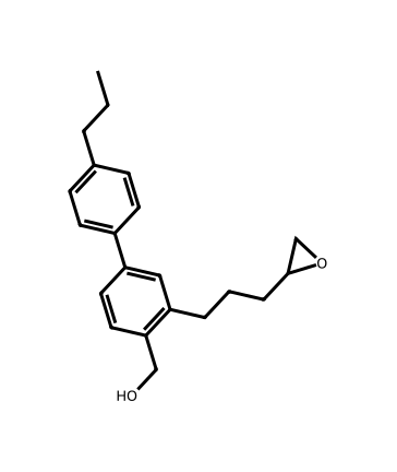 CCCc1ccc(-c2ccc(CO)c(CCCC3CO3)c2)cc1